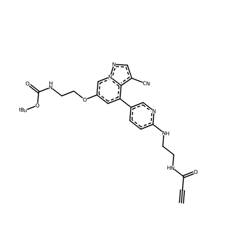 C#CC(=O)NCCNc1ccc(-c2cc(OCCNC(=O)OC(C)(C)C)cn3ncc(C#N)c23)cn1